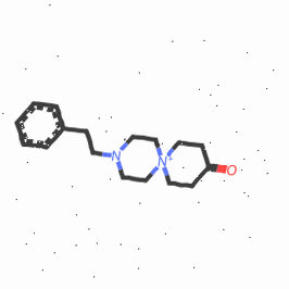 O=C1CC[N+]2(CC1)CCN(CCc1ccccc1)CC2